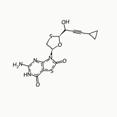 Nc1nc2c(sc(=O)n2[C@H]2CS[C@@H](C(O)C#CC3CC3)O2)c(=O)[nH]1